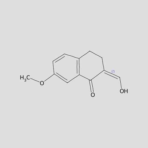 COc1ccc2c(c1)C(=O)/C(=C\O)CC2